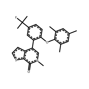 Cc1cc(C)c(Oc2ccc(C(C)(C)F)cc2-c2cn(C)c(=O)c3sccc23)c(C)c1